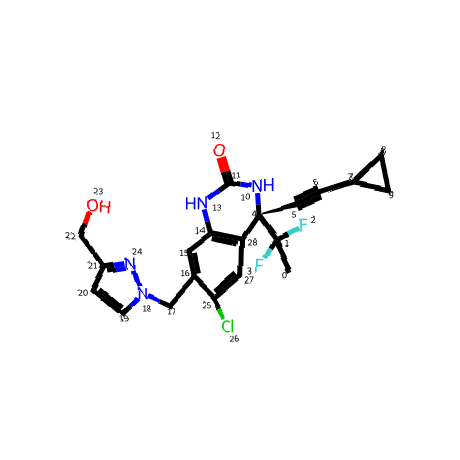 CC(F)(F)[C@@]1(C#CC2CC2)NC(=O)Nc2cc(Cn3ccc(CO)n3)c(Cl)cc21